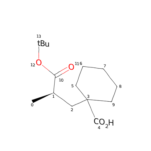 C[C@H](CC1(C(=O)O)CCCCC1)C(=O)OC(C)(C)C